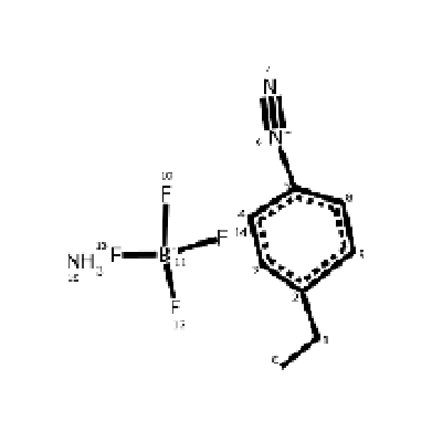 CCc1ccc([N+]#N)cc1.F[B-](F)(F)F.N